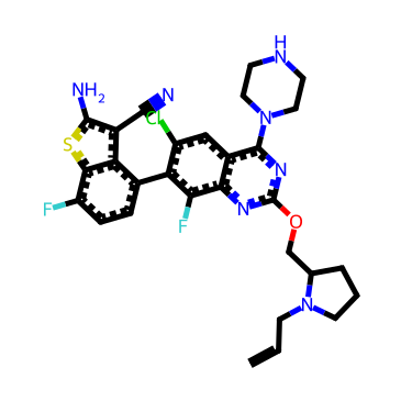 C=CCN1CCCC1COc1nc(N2CCNCC2)c2cc(Cl)c(-c3ccc(F)c4sc(N)c(C#N)c34)c(F)c2n1